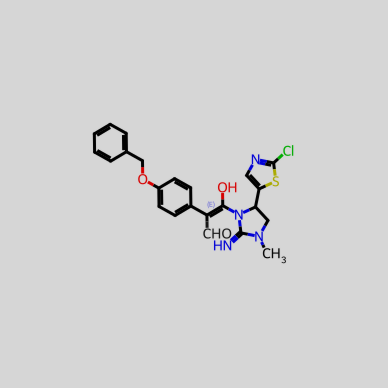 CN1CC(c2cnc(Cl)s2)N(/C(O)=C(\C=O)c2ccc(OCc3ccccc3)cc2)C1=N